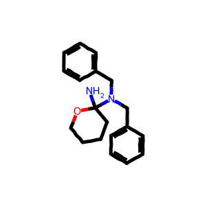 NC1(N(Cc2ccccc2)Cc2ccccc2)CCCCO1